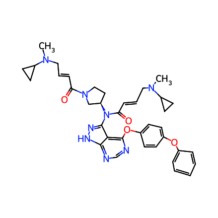 CN(C/C=C/C(=O)N1CC[C@@H](N(C(=O)/C=C/CN(C)C2CC2)c2n[nH]c3ncnc(Oc4ccc(Oc5ccccc5)cc4)c23)C1)C1CC1